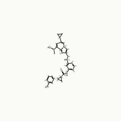 CC(=O)N(C)c1cc(C2CC2)cn2cc(CNc3cc(NC(=O)[C@H]4C[C@@H]4c4cccc(Cl)c4)ncn3)nc12